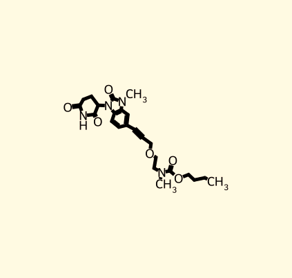 CCCCOC(=O)N(C)CCOCC#Cc1ccc2c(c1)n(C)c(=O)n2C1CCC(=O)NC1=O